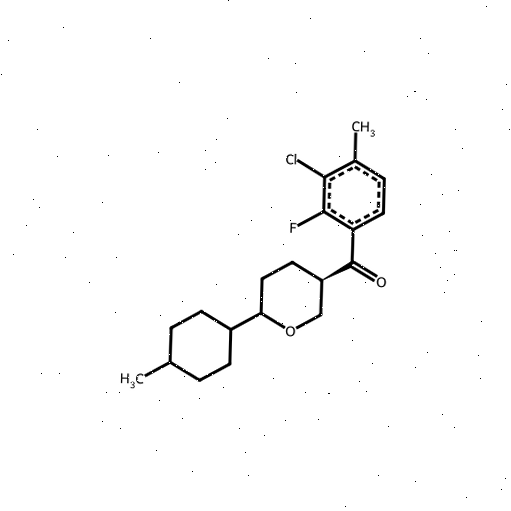 Cc1ccc(C(=O)[C@@H]2CCC(C3CCC(C)CC3)OC2)c(F)c1Cl